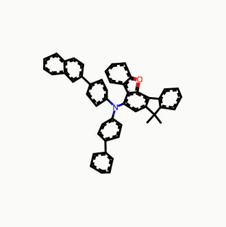 CC1(C)c2ccccc2-c2c1cc(N(c1ccc(-c3ccccc3)cc1)c1ccc(-c3ccc4ccccc4c3)cc1)c1c2oc2ccccc21